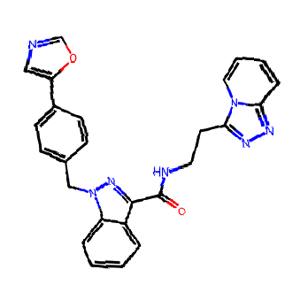 O=C(NCCc1nnc2ccccn12)c1nn(Cc2ccc(-c3cnco3)cc2)c2ccccc12